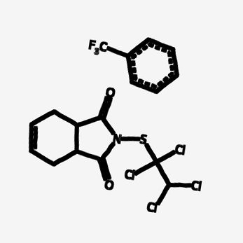 FC(F)(F)c1ccccc1.O=C1C2CC=CCC2C(=O)N1SC(Cl)(Cl)C(Cl)Cl